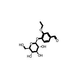 CCOc1cc(C=O)ccc1O[C@@H]1O[C@H](CO)[C@@H](O)[C@H](O)[C@H]1O